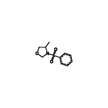 CC1COCN1S(=O)(=O)c1ccccc1